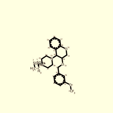 CS(=O)(=O)O.CS(=O)(=O)O.FC(F)(F)Oc1cccc(COC2COc3ccccc3C2N2CCNCC2)c1